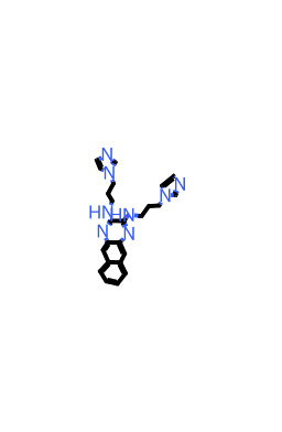 c1ccc2cc3nc(NCCCn4ccnc4)c(NCCCn4ccnc4)nc3cc2c1